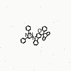 c1ccc(-c2cc(-n3c4ccccc4c4cc5c(cc43)Oc3ccccc3C53c4ccccc4-c4ccccc43)nc(-c3ccccc3)n2)cc1